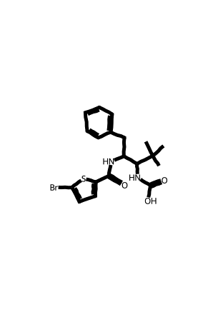 CC(C)(C)C(NC(=O)O)C(Cc1ccccc1)NC(=O)c1ccc(Br)s1